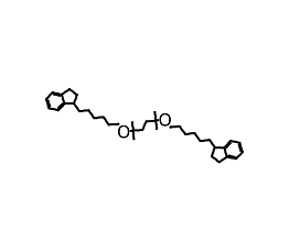 CC(C)(CCC(C)(C)OCCCCCCC1CCc2ccccc21)OCCCCCCC1CCc2ccccc21